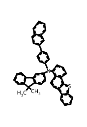 CC1(C)c2ccccc2-c2cc(N(c3ccc(-c4ccc5ccccc5c4)cc3)c3cccc4c3ccc3c5ccccc5sc43)ccc21